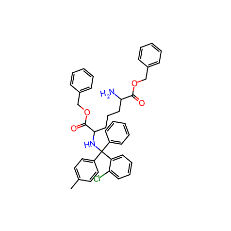 Cc1ccc(C(NC(CCCC(N)C(=O)OCc2ccccc2)C(=O)OCc2ccccc2)(c2ccccc2)c2ccccc2Cl)cc1